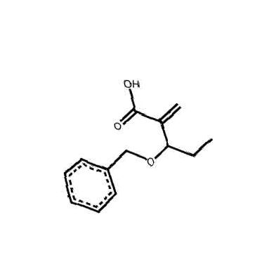 C=C(C(=O)O)C(CC)OCc1ccccc1